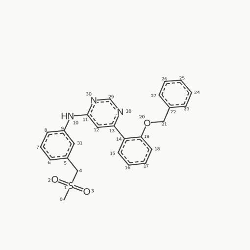 CS(=O)(=O)Cc1cccc(Nc2cc(-c3ccccc3OCc3ccccc3)ncn2)c1